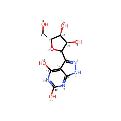 OC[C@H]1OC(c2n[nH]c3nc(O)nc(O)c23)[C@H](O)[C@@H]1O